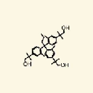 CCCC(c1ccc(C(C)(C)CO)cc1C)(c1ccc(C(C)(C)CO)cc1C)c1ccc(C(C)(C)CO)cc1C